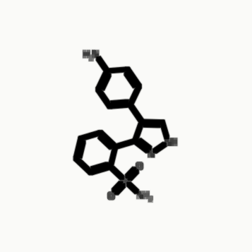 Nc1ccc(-c2c[nH]nc2-c2ccccc2S(N)(=O)=O)cc1